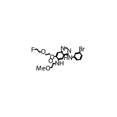 COCC(=O)Nc1cc2c(Nc3cccc(Br)c3)ncnc2cc1OCCOCCF